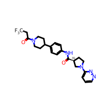 O=C(Nc1ccc(C2CCN(C(=O)CC(F)(F)F)CC2)cc1)[C@H]1CCN(c2cccnn2)C1